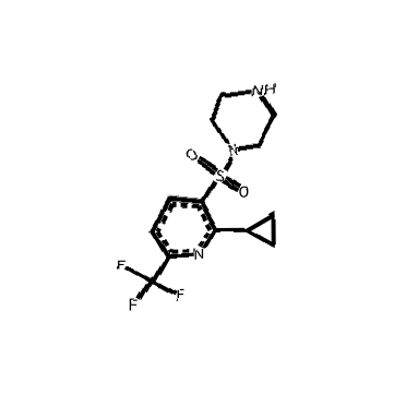 O=S(=O)(c1ccc(C(F)(F)F)nc1C1CC1)N1CCNCC1